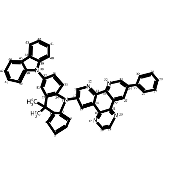 CC1(C)c2ccccc2N(c2cnc3c(c2)c2nccnc2c2cc(-c4ccccc4)cnc23)c2ccc(-n3c4ccccc4c4ccccc43)cc21